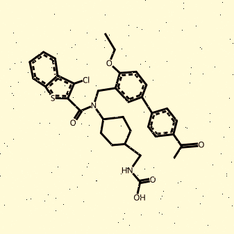 CCOc1ccc(-c2ccc(C(C)=O)cc2)cc1CN(C(=O)c1sc2ccccc2c1Cl)C1CCC(CNC(=O)O)CC1